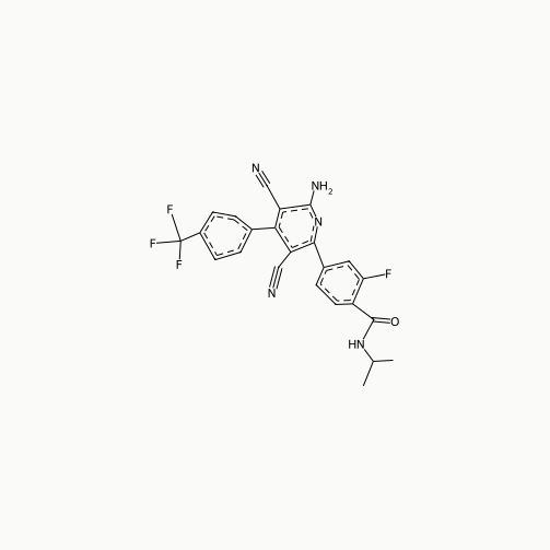 CC(C)NC(=O)c1ccc(-c2nc(N)c(C#N)c(-c3ccc(C(F)(F)F)cc3)c2C#N)cc1F